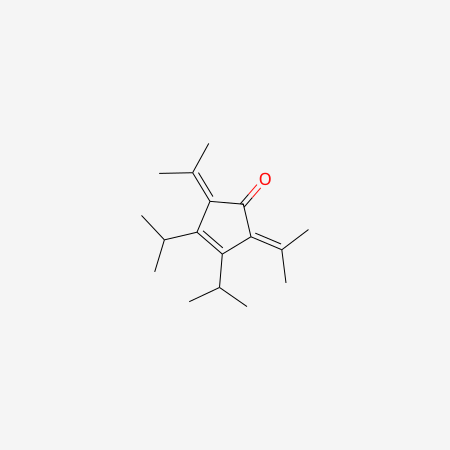 CC(C)=C1C(=O)C(=C(C)C)C(C(C)C)=C1C(C)C